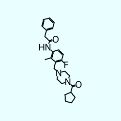 Cc1c(NC(=O)Cc2ccccc2)ccc(F)c1CN1CCN(C(=O)C2CCCC2)CC1